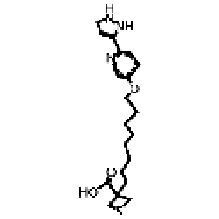 O=C(O)C1(CCCCCCCCOc2ccc(C3=CCNN3)nc2)CSC1